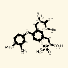 CSc1ccc(Oc2ccc(CN(C(=O)O)S(C)(=O)=O)cc2CN(C)C(=O)OC(C)(C)C)cc1C